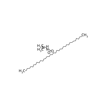 CCCCCCCCCCCCCCCCCCC(CCCCCCCCCCCCCCCCCC)OC(=O)CNCN(C)C